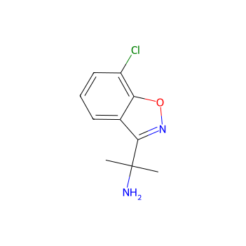 CC(C)(N)c1noc2c(Cl)cccc12